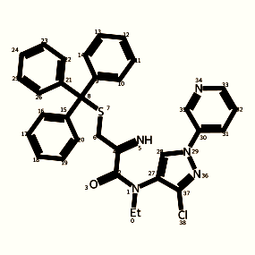 CCN(C(=O)C(=N)CSC(c1ccccc1)(c1ccccc1)c1ccccc1)c1cn(-c2cccnc2)nc1Cl